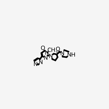 Cn1c(N2CCCC(C(=O)N3CCNCC3)C2)nc(-c2ccncn2)cc1=O